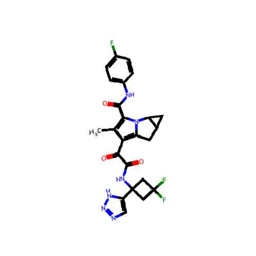 Cc1c(C(=O)C(=O)NC2(c3cnn[nH]3)CC(F)(F)C2)c2n(c1C(=O)Nc1ccc(F)cc1)C1CC1C2